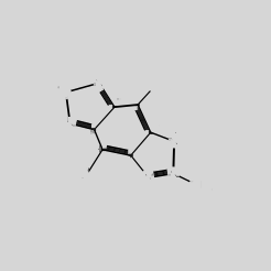 C[n+]1nc2c(C(C)(C)C)c3nsnc3c(C(C)(C)C)c2[nH]1